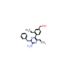 C=Cc1cc(CO)ccc1-c1nc(Cc2ccccc2)c(N)nc1C=C